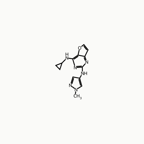 Cn1cc(Nc2nc(NC3CC3)c3occc3n2)cn1